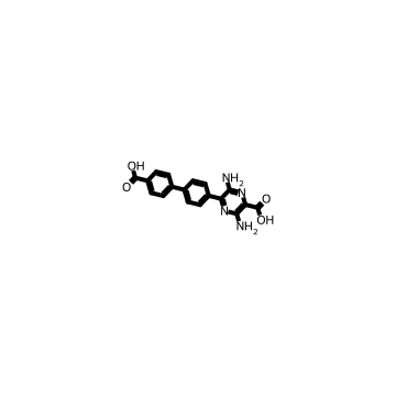 Nc1nc(-c2ccc(-c3ccc(C(=O)O)cc3)cc2)c(N)nc1C(=O)O